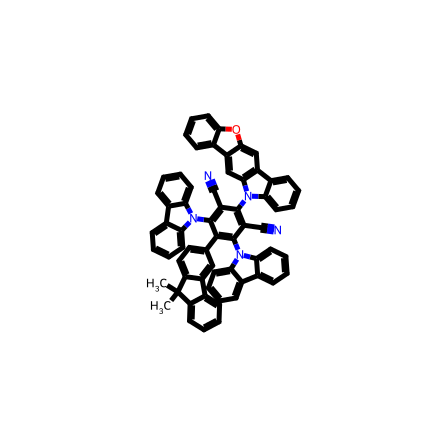 CC1(C)c2ccccc2-c2cc(-c3c(-n4c5ccccc5c5ccccc54)c(C#N)c(-n4c5ccccc5c5cc6oc7ccccc7c6cc54)c(C#N)c3-n3c4ccccc4c4ccccc43)ccc21